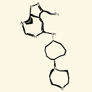 CCc1nsc2ncnc(N[C@H]3CC[C@H](N4CCOCC4)CC3)c12